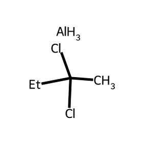 CCC(C)(Cl)Cl.[AlH3]